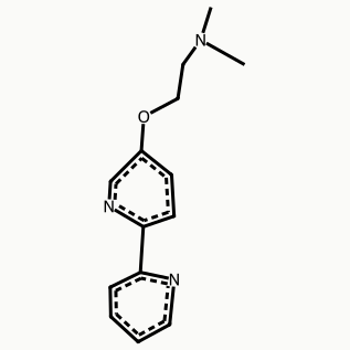 CN(C)CCOc1ccc(-c2ccccn2)nc1